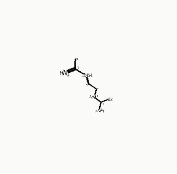 CCCC(CC)NCCNC(C)=N